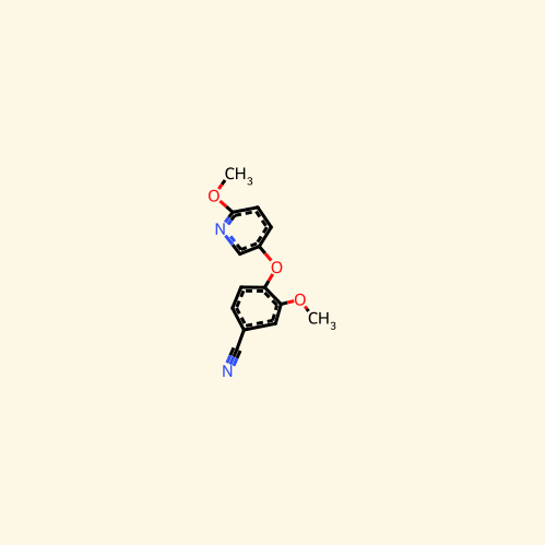 COc1ccc(Oc2ccc(C#N)cc2OC)cn1